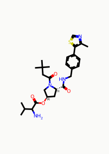 Cc1ncsc1-c1ccc(CNC(=O)[C@@H]2C[C@@H](OC(=O)C(N)C(C)C)CN2C(=O)CC(C)(C)C)cc1